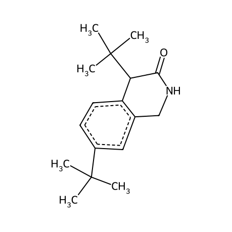 CC(C)(C)c1ccc2c(c1)CNC(=O)C2C(C)(C)C